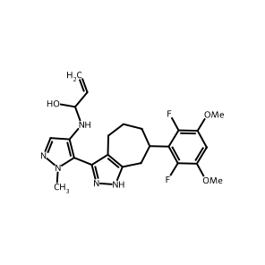 C=CC(O)Nc1cnn(C)c1-c1n[nH]c2c1CCCC(c1c(F)c(OC)cc(OC)c1F)C2